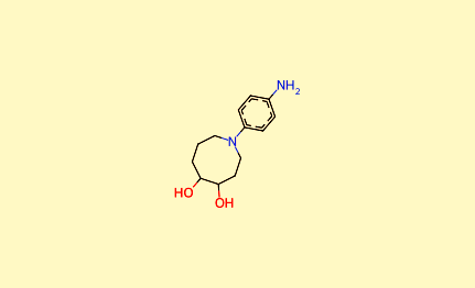 Nc1ccc(N2CCCC(O)C(O)CC2)cc1